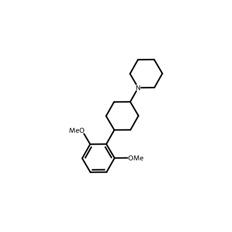 COc1cccc(OC)c1C1CCC(N2CCCCC2)CC1